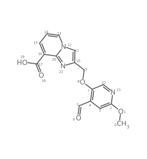 COc1cc(C=O)c(OCc2cn3cccc(C(=O)O)c3n2)cn1